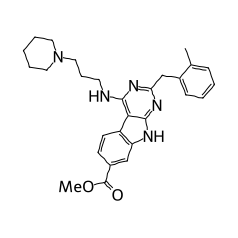 COC(=O)c1ccc2c(c1)[nH]c1nc(Cc3ccccc3C)nc(NCCCN3CCCCC3)c12